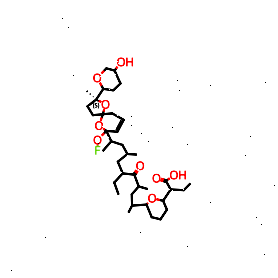 CCC(CC(C)CC(C)C1(OF)C=CCC2(CC[C@@](C)(C3CCC(O)CO3)O2)O1)C(=O)C(C)CC(C)C1CCCC(C(CC)C(=O)O)O1